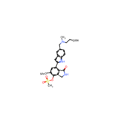 COCCN(C)Cc1ccc2[nH]c(-c3cc(OC)c(OS(C)(=O)=O)c4c3C(=O)NC4)cc2c1